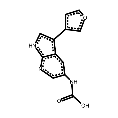 O=C(O)Nc1cnc2[nH]cc(-c3ccoc3)c2c1